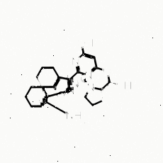 C[C@H](Oc1cc(O)nc(-c2noc3c2CCC[C@@]32CCCc3sc(N)c(C#N)c32)n1)[C@@H]1CCCN1C